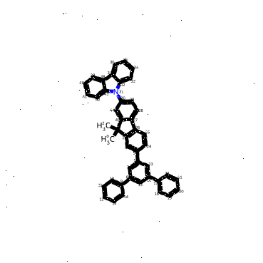 CC1(C)c2cc(-c3cc(-c4ccccc4)cc(-c4ccccc4)c3)ccc2-c2ccc(-n3c4ccccc4c4ccccc43)cc21